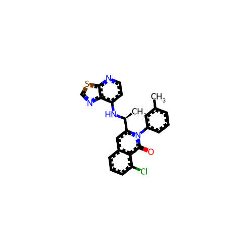 Cc1cccc(-n2c([C@H](C)Nc3ccnc4scnc34)cc3cccc(Cl)c3c2=O)c1